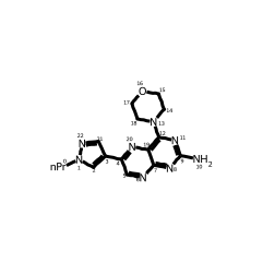 CCCn1cc(-c2cnc3nc(N)nc(N4CCOCC4)c3n2)cn1